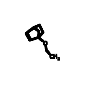 CCOC12C=CC(CC1)C2